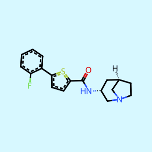 O=C(N[C@@H]1C[C@H]2CCN(C2)C1)c1ccc(-c2ccccc2F)s1